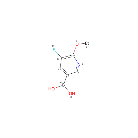 CCOc1ncc(B(O)O)cc1F